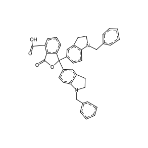 O=C(O)c1cccc2c1C(=O)OC2(c1ccc2c(c1)CCN2Cc1ccccc1)c1ccc2c(c1)CCN2Cc1ccccc1